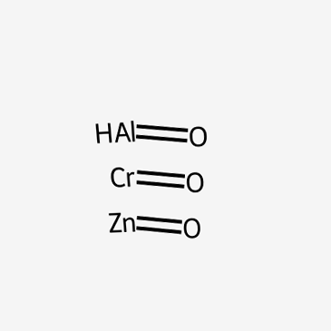 [O]=[AlH].[O]=[Cr].[O]=[Zn]